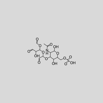 CC(=O)NC1C(O)OC(COS(=O)(=O)O)C(O)C1OC(C=O)OC(OC=O)C(O)C=O